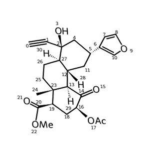 C#C[C@]1(O)C[C@H](c2ccoc2)C[C@@H]2[C@H]3C(=O)[C@@H](OC(C)=O)C[C@@H](C(=O)OC)[C@]3(C)CC[C@H]21